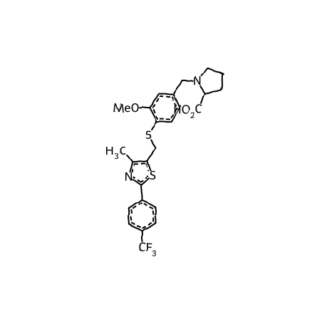 COc1cc(CN2CCCC2C(=O)O)ccc1SCc1sc(-c2ccc(C(F)(F)F)cc2)nc1C